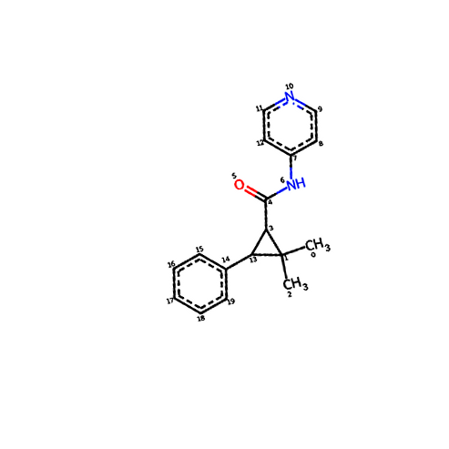 CC1(C)C(C(=O)Nc2ccncc2)C1c1ccccc1